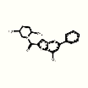 CC1CCC(C)N(C(=O)c2cc3nc(-c4ccccc4)cc(C(F)(F)F)n3n2)C1